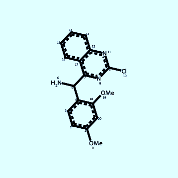 COc1ccc(C(N)c2nc(Cl)nc3ccccc23)c(OC)c1